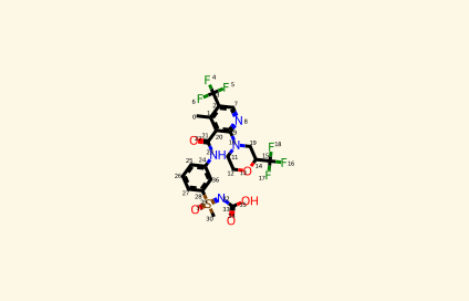 Cc1c(C(F)(F)F)cnc(N2CCOC(C(F)(F)F)C2)c1C(=O)Nc1cccc(S(C)(=O)=NC(=O)O)c1